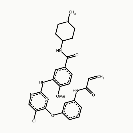 C=CC(=O)Nc1cccc(Oc2nc(Nc3cc(C(=O)NC4CCN(C)CC4)ccc3OC)ncc2Cl)c1